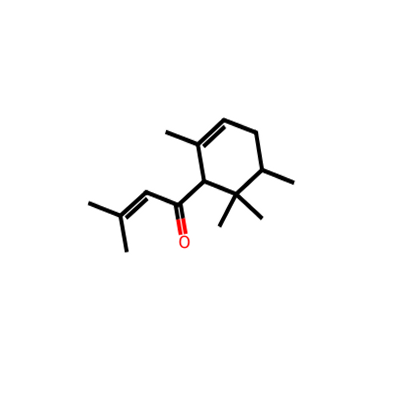 CC(C)=CC(=O)C1C(C)=CCC(C)C1(C)C